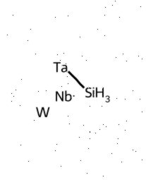 [Nb].[SiH3][Ta].[W]